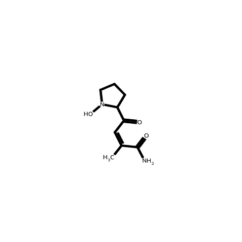 CC(=CC(=O)C1CCCN1O)C(N)=O